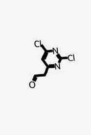 O=CCc1cc(Cl)nc(Cl)n1